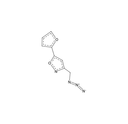 [N-]=[N+]=NCc1cc(-c2ccco2)on1